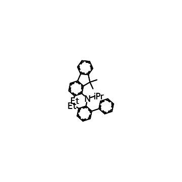 CCc1cccc(-c2ccccc2)c1N(c1c(CC)ccc2c1C(C)(C)c1ccccc1-2)C(C)C